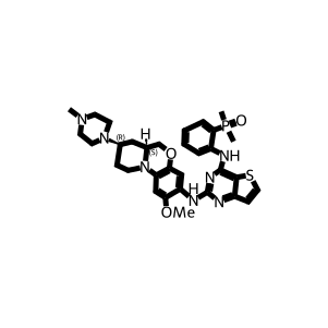 COc1cc2c(cc1Nc1nc(Nc3ccccc3P(C)(C)=O)c3sccc3n1)OC[C@@H]1C[C@H](N3CCN(C)CC3)CCN21